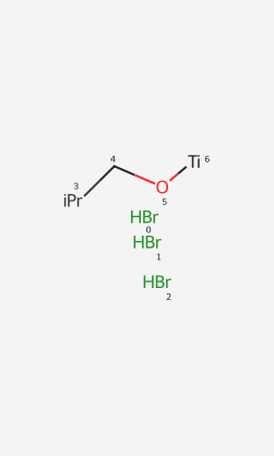 Br.Br.Br.CC(C)C[O][Ti]